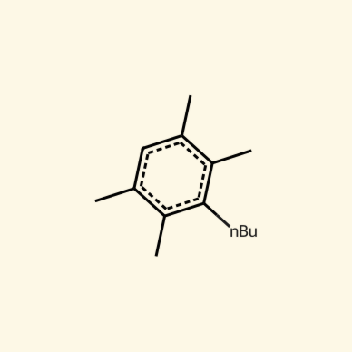 [CH2]CCCc1c(C)c(C)cc(C)c1C